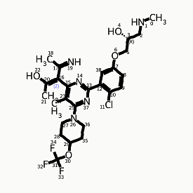 CNC[C@@H](O)COc1ccc(Cl)c(-c2nc(/C(C(C)=N)=C(\C)O)c(C)c(N3CCC(OC(F)(F)F)CC3)n2)c1